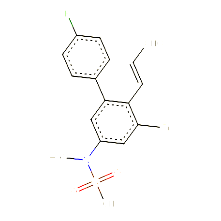 CC(C)c1cc(N(C)S(C)(=O)=O)cc(-c2ccc(F)cc2)c1/C=C/C=O